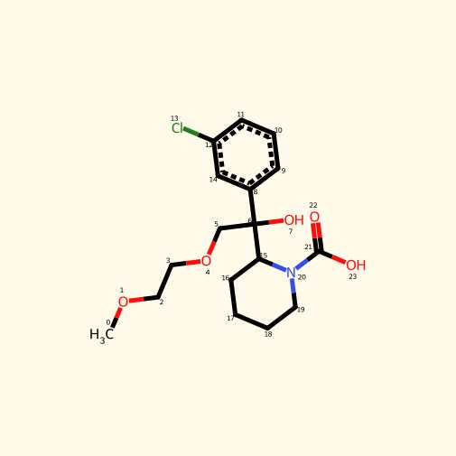 COCCOCC(O)(c1cccc(Cl)c1)C1CCCCN1C(=O)O